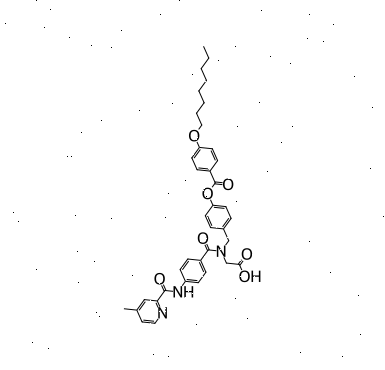 CCCCCCCCOc1ccc(C(=O)Oc2ccc(CN(CC(=O)O)C(=O)c3ccc(NC(=O)c4cc(C)ccn4)cc3)cc2)cc1